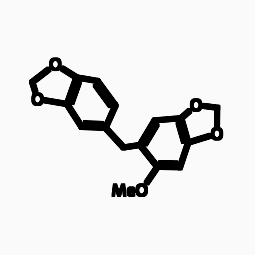 COc1cc2c(cc1Cc1ccc3c(c1)OCO3)OCO2